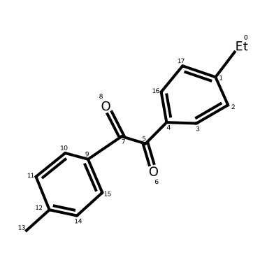 CCc1ccc(C(=O)C(=O)c2ccc(C)cc2)cc1